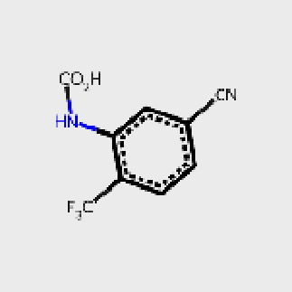 N#Cc1ccc(C(F)(F)F)c(NC(=O)O)c1